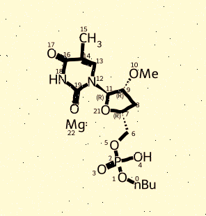 CCCCOP(=O)(O)OC[C@H]1C[C@@H](OC)[C@H](n2cc(C)c(=O)[nH]c2=O)O1.[Mg]